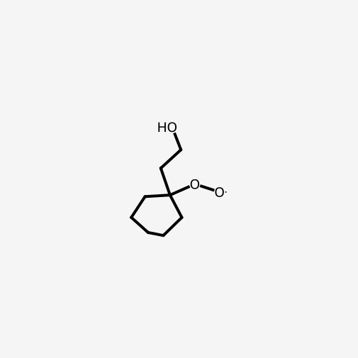 [O]OC1(CCO)CCCCC1